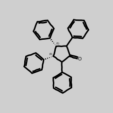 O=C1C(c2ccccc2)[C@@H](c2ccccc2)[C@@H](c2ccccc2)C1c1ccccc1